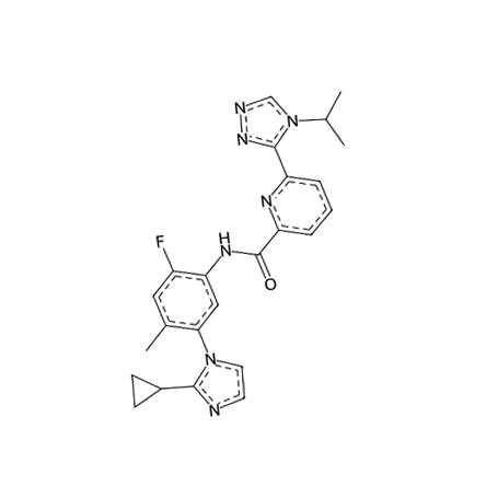 Cc1cc(F)c(NC(=O)c2cccc(-c3nncn3C(C)C)n2)cc1-n1ccnc1C1CC1